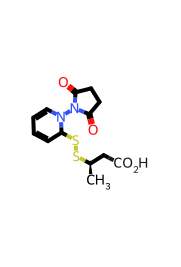 C[C@H](CC(=O)O)SSC1C=CC=CN1N1C(=O)CCC1=O